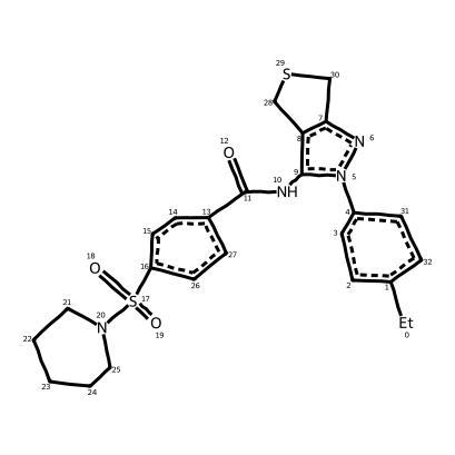 CCc1ccc(-n2nc3c(c2NC(=O)c2ccc(S(=O)(=O)N4CCCCC4)cc2)CSC3)cc1